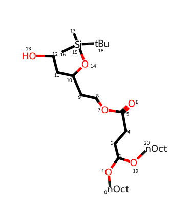 CCCCCCCCOC(CCC(=O)OCCC(CCO)O[Si](C)(C)C(C)(C)C)OCCCCCCCC